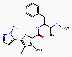 COc1c(C(=O)NC(Cc2ccccc2)C(NC(=O)O)C(C)(C)C)sc(-c2ccnn2C)c1Br